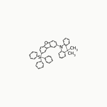 CC1(C)c2ccccc2N(c2ccc3oc4ccc([Si](c5ccccc5)(c5ccccc5)c5ccccc5)cc4c3c2)c2ccccc21